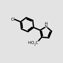 O=C(O)c1cc[nH]c1-c1ccc(Cl)cc1